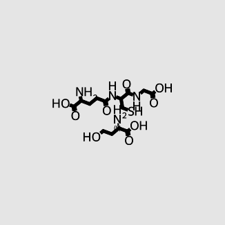 NC(CCC(=O)NC(CS)C(=O)NCC(=O)O)C(=O)O.N[C@@H](CCO)C(=O)O